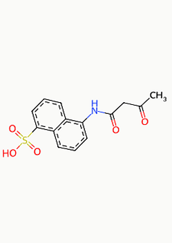 CC(=O)CC(=O)Nc1cccc2c(S(=O)(=O)O)cccc12